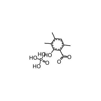 Cc1cc(C)c(I(=O)=O)c(O)c1C.O=P(O)(O)O